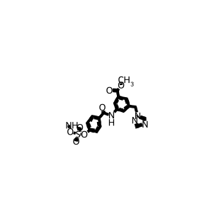 COC(=O)c1cc(Cn2cncn2)cc(NC(=O)c2ccc(OS(=O)(=O)ON)cc2)c1